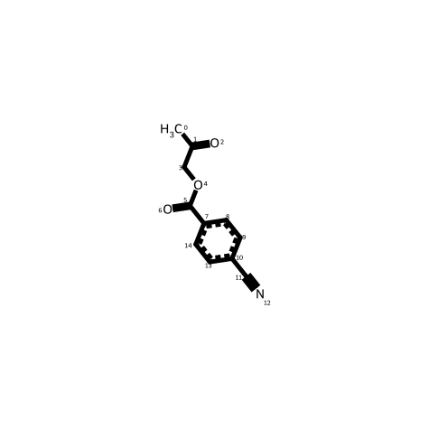 CC(=O)COC(=O)c1ccc(C#N)cc1